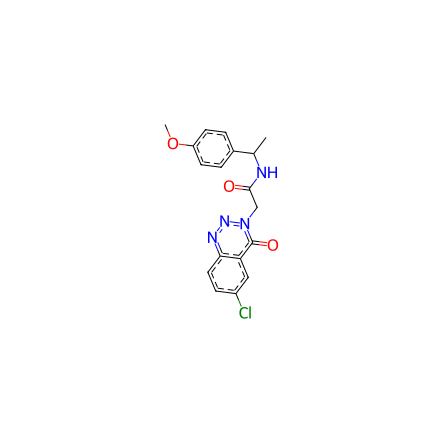 COc1ccc(C(C)NC(=O)Cn2nnc3ccc(Cl)cc3c2=O)cc1